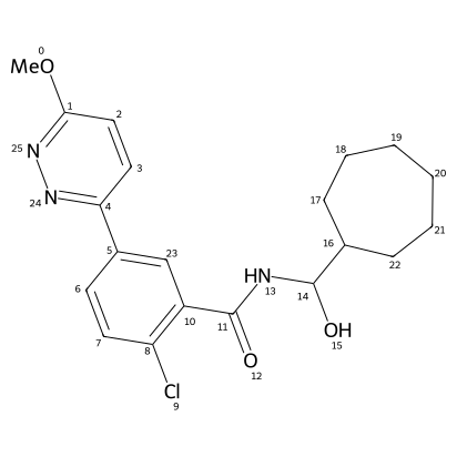 COc1ccc(-c2ccc(Cl)c(C(=O)NC(O)C3CCCCCC3)c2)nn1